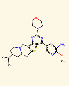 COc1ncc(-c2nc(N3CCOCC3)nc3c(CN4CCC(C(C)C)CC4)c(C)sc23)cc1N